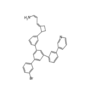 N/C=C\C=C1/CCC1c1cccc(-c2cc(-c3cccc(Br)c3)cc(-c3cccc(-c4cccnc4)c3)c2)c1